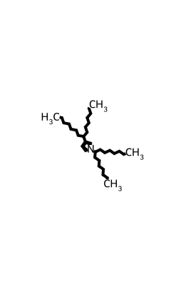 CCCCCCCC(CCCCCCC)c1ccn(C(CCCCCCC)CCCCCCC)c1